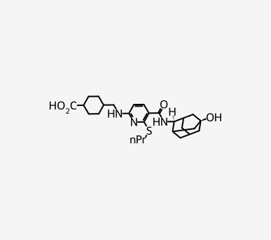 CCCSc1nc(NCC2CCC(C(=O)O)CC2)ccc1C(=O)N[C@H]1C2CC3CC1C[C@@](O)(C3)C2